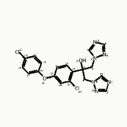 OC(Cn1cncn1)(Cn1cncn1)c1ccc(Oc2ccc(Cl)cc2)cc1Cl